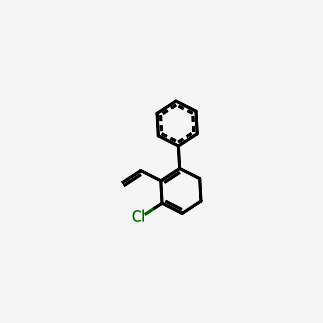 C=CC1=C(c2ccccc2)CCC=C1Cl